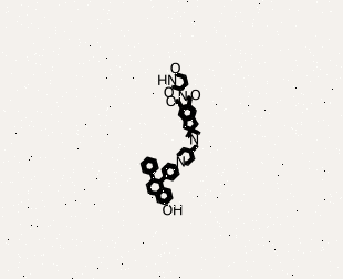 O=C1CCC(N2C(=O)c3cc4c(cc3C2=O)CC2(C4)CN(CC3CCN(c4ccc(C5c6ccc(O)cc6CCC5c5ccccc5)cc4)CC3)C2)C(=O)N1